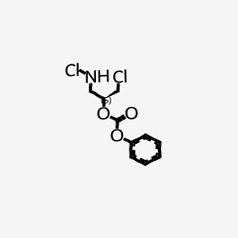 O=C(Oc1ccccc1)O[C@H](CCl)CNCl